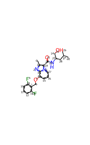 Cc1nc2c(OCc3c(F)cccc3F)cccn2c1C(=O)NC(CO)CC(C)C